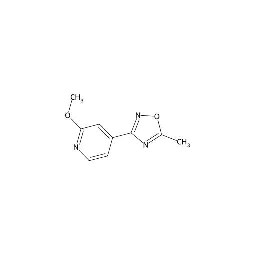 COc1cc(-c2noc(C)n2)ccn1